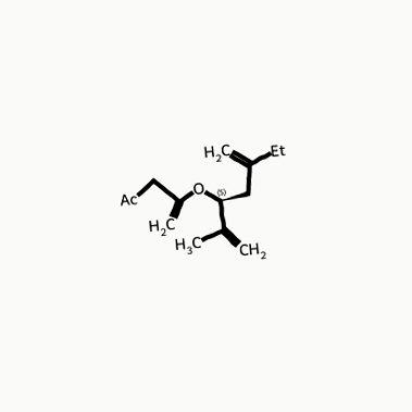 C=C(CC)C[C@H](OC(=C)CC(C)=O)C(=C)C